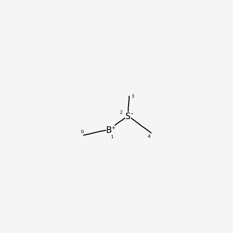 C[B+][S-](C)C